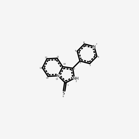 S=c1[nH]c(-c2ccncc2)c2ccccn12